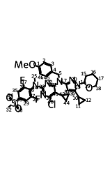 COc1ccc(CN(c2cc(C3CC3)n(C3CCCCO3)n2)c2nc(N(C)c3c(F)cc(S(C)(=O)=O)cc3F)nc(Cl)c2C2CC2)cc1